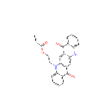 C=CC(=O)OCCn1c2ccccc2c(=O)c2cc3[nH]c4ccccc4c(=O)c3cc21